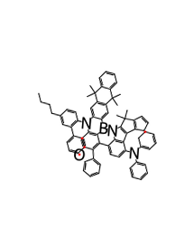 CCCCc1ccc(N2c3cc4c(cc3B3c5c2cc2oc6ccccc6c2c5-c2ccc(N(C5=CC=CCC5)c5ccccc5)c5c6c(n3c25)C(C)(C)C2=C6CC=C2)C(C)(C)c2ccccc2C4(C)C)c(-c2ccccc2)c1